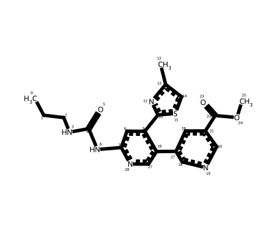 CCCNC(=O)Nc1cc(-c2nc(C)cs2)c(-c2cncc(C(=O)OC)c2)cn1